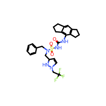 O=C(Nc1c2c(cc3c1CCC3)CCC2)NS(=O)(=O)N(Cc1ccccc1)CC1C=CN(CC(F)(F)F)N1